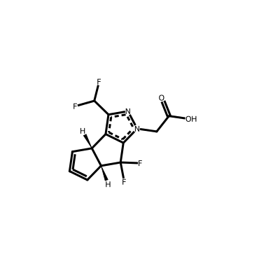 O=C(O)Cn1nc(C(F)F)c2c1C(F)(F)[C@@H]1C=C=C[C@H]21